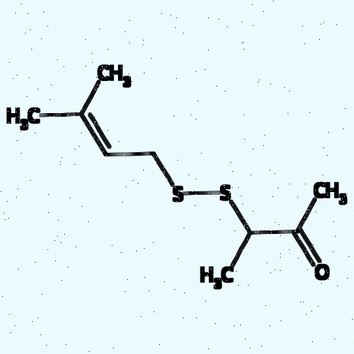 CC(=O)C(C)SSCC=C(C)C